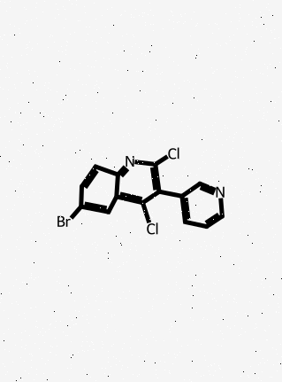 Clc1nc2ccc(Br)cc2c(Cl)c1-c1cccnc1